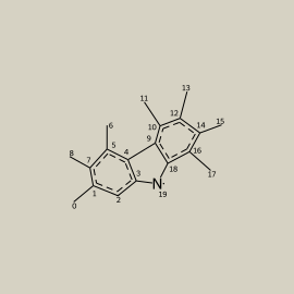 Cc1cc2c(c(C)c1C)-c1c(C)c(C)c(C)c(C)c1[N]2